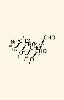 O=C[O-].O=C[O-].O=C[O-].O=C[O-].O=C[O-].[Bi+5]